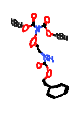 CC(C)(C)OC(=O)N(OCCNC(=O)OCc1ccccc1)C(=O)OC(C)(C)C